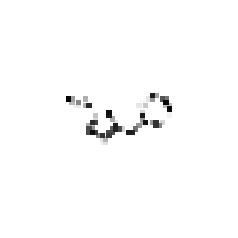 CSc1nnc(Cc2ccccc2)o1